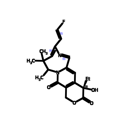 CC[C@@]1(O)C(=O)OCc2c1cc1n(c2=O)C(C)C(C)(C)/C=C(\C=C\F)/N=C/1